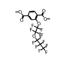 COC(=O)c1ccc(C(=O)OC)c(OC(F)(F)C(F)(Br)OC(F)(F)C(F)(F)C(F)(F)F)c1